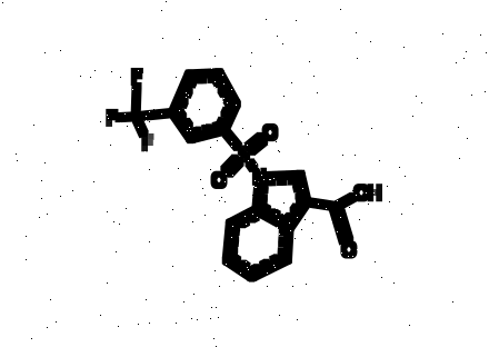 O=C(O)c1cn(S(=O)(=O)c2cccc(C(F)(F)F)c2)c2ccccc12